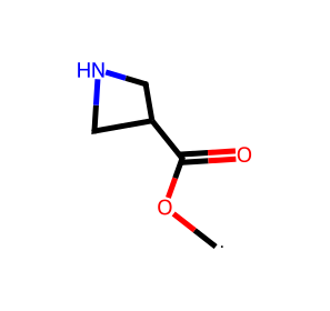 [CH2]OC(=O)C1CNC1